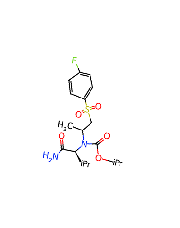 CC(C)OC(=O)N(C(C)CS(=O)(=O)c1ccc(F)cc1)[C@H](C(N)=O)C(C)C